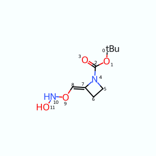 CC(C)(C)OC(=O)N1CC/C1=C\ONO